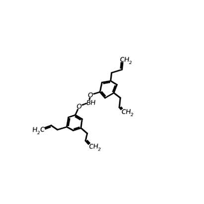 C=CCc1cc(CC=C)cc(OBOc2cc(CC=C)cc(CC=C)c2)c1